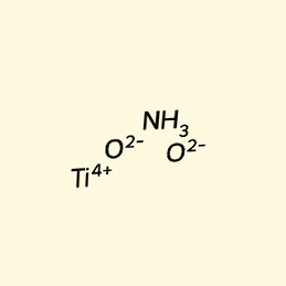 N.[O-2].[O-2].[Ti+4]